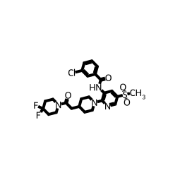 CS(=O)(=O)c1cnc(N2CCC(CC(=O)N3CCC(F)(F)CC3)CC2)c(NC(=O)c2cccc(Cl)c2)c1